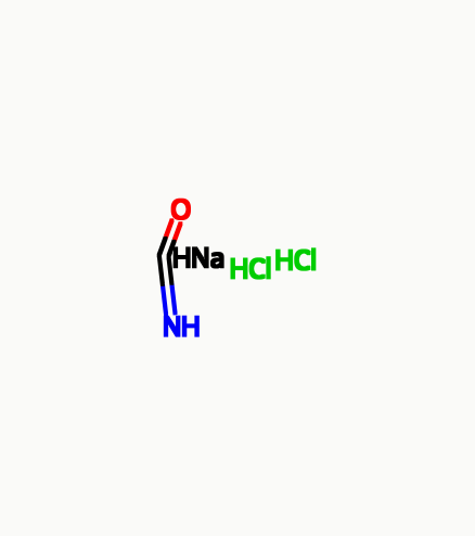 Cl.Cl.N=C=O.[NaH]